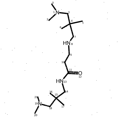 CN(C)CC(C)(C)CNCCC(=O)NCC(C)(C)CN(C)C